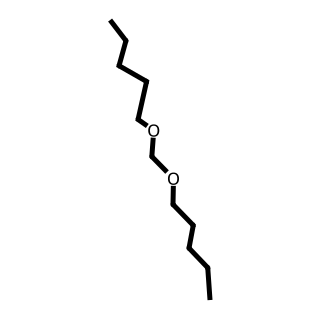 CCCCCOCOCCCCC